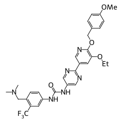 CCOc1cc(-c2ncc(NC(=O)Nc3ccc(CN(C)C)c(C(F)(F)F)c3)cn2)cnc1OCc1ccc(OC)cc1